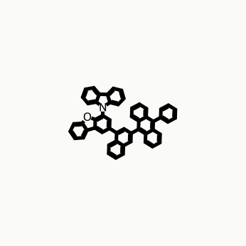 c1ccc(-c2c3ccccc3c(-c3cc(-c4cc(-n5c6ccccc6c6ccccc65)c5oc6ccccc6c5c4)c4ccccc4c3)c3ccccc23)cc1